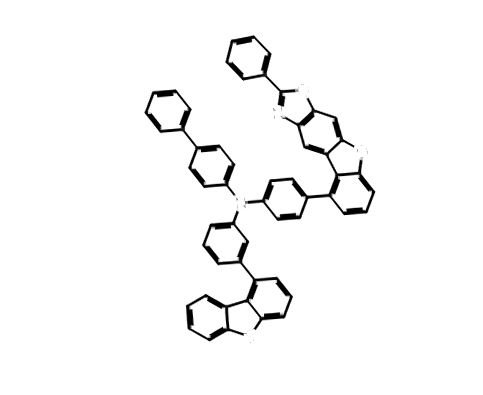 c1ccc(-c2ccc(N(c3ccc(-c4cccc5oc6cc7oc(-c8ccccc8)nc7cc6c45)cc3)c3cccc(-c4cccc5sc6ccccc6c45)c3)cc2)cc1